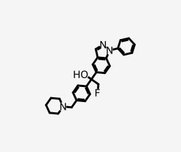 OC(CF)(c1ccc(CN2CCCCC2)cc1)c1ccc2c(cnn2-c2ccccc2)c1